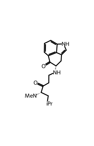 CN[C@@H](CC(C)C)C(=O)CCN[C@H]1Cc2c[nH]c3cccc(c23)C1=O